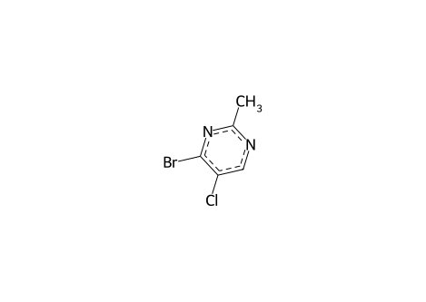 Cc1ncc(Cl)c(Br)n1